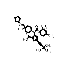 CC1=CC[C@H](C(=O)N(c2cc(C#CC(C)(C)C)sc2C(=O)O)[C@H]2CC[C@](O)(COC3CCCC3)CC2)[C@@H](C)C1